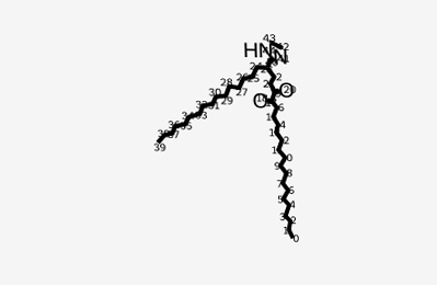 CCCCCCCCCCCCCCCCCC(=O)C(=O)CCC(CCCCCCCCCCCCCCCC)C1=NCCN1